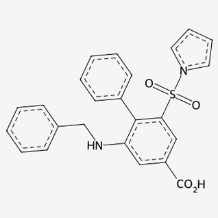 O=C(O)c1cc(NCc2ccccc2)c(-c2ccccc2)c(S(=O)(=O)n2cccc2)c1